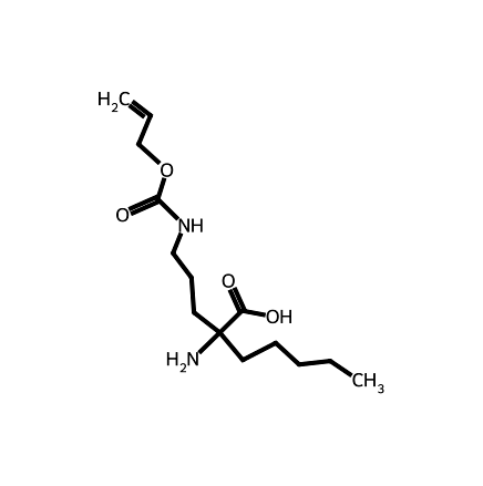 C=CCOC(=O)NCCCC(N)(CCCCC)C(=O)O